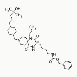 CCCN1C(=O)[C@H](CCCCNC(=O)OCc2ccccc2)NC(=O)C12CCN(CC1CC=C(CCCC(C)(C)O)CC1)CC2